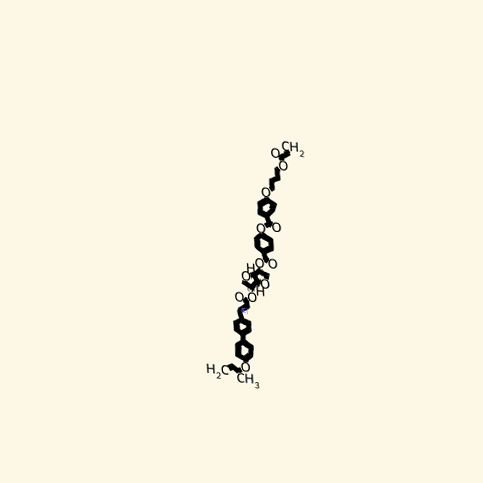 C=CC(=O)OCCCCOc1ccc(C(=O)Oc2ccc(C(=O)O[C@H]3CO[C@H]4[C@@H]3OC[C@H]4OC(=O)/C=C/c3ccc(-c4ccc(OC(C)C=C)cc4)cc3)cc2)cc1